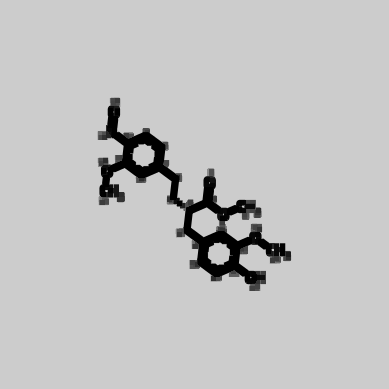 COC(=O)[C@@H](CCc1ccc(N=O)c(OC)c1)Cc1ccc(O)c(OC)c1